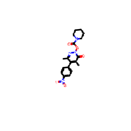 Cc1nn(OC(=O)N2CCCCC2)c(=O)c(C)c1-c1ccc([N+](=O)[O-])cc1